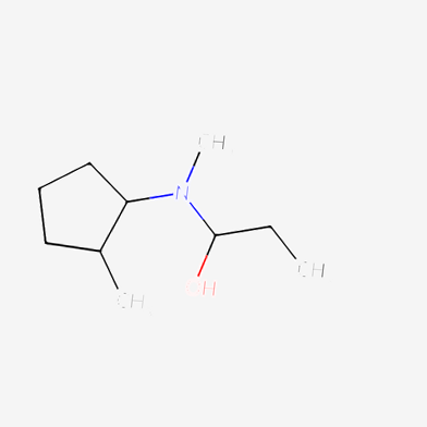 CCC(O)N(C)C1CCCC1C